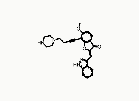 COc1ccc2c(c1C#CCCN1CCNCC1)OC(=Cc1n[nH]c3ccccc13)C2=O